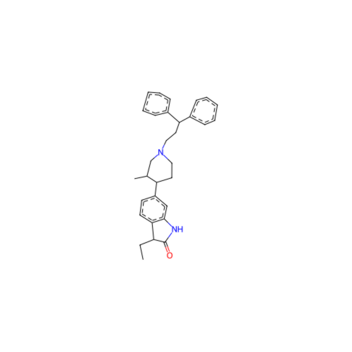 CCC1C(=O)Nc2cc(C3CCN(CCC(c4ccccc4)c4ccccc4)CC3C)ccc21